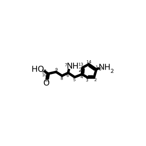 Nc1ccc(CC(N)CCC(=O)O)cc1